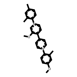 COc1ccc(-[n+]2ccc(-c3cc[n+](-c4ccc(C)cc4C)cc3OC)cc2)c(C)c1